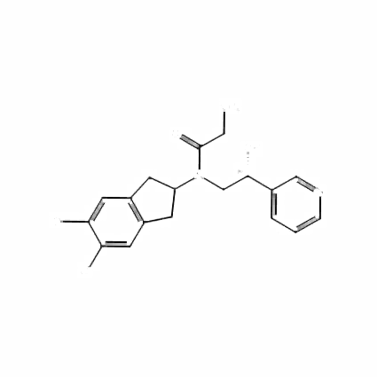 CCC(=O)N(C[C@H](O)c1cccnc1)C1Cc2cc(Cl)c(Cl)cc2C1